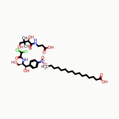 CC(C)(CO)[C@@H](O)C(=O)NCCC(=O)O.CCCCCCCCCCCCCCCC(=O)O.O=C(N[C@H](CO)[C@H](O)c1ccc([N+](=O)[O-])cc1)C(Cl)Cl